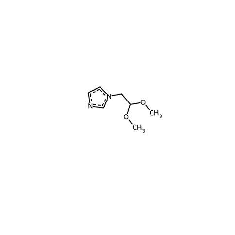 COC(Cn1ccnc1)OC